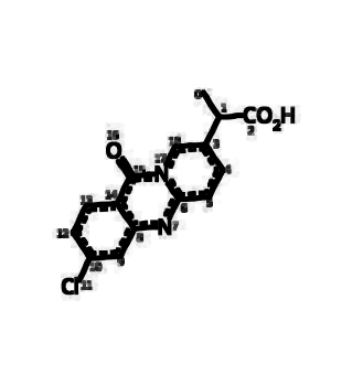 CC(C(=O)O)c1ccc2nc3cc(Cl)ccc3c(=O)n2c1